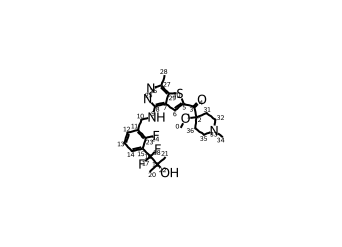 COC1(C(=O)c2cc3c(NCc4cccc(C(F)(F)C(C)(C)O)c4F)nnc(C)c3s2)CCN(C)CC1